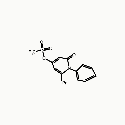 CC(C)c1cc(OS(=O)(=O)C(F)(F)F)cc(=O)n1-c1ccccc1